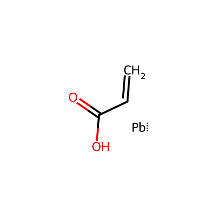 C=CC(=O)O.[Pb]